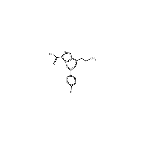 COCc1cc(-c2ccc(F)cc2)nc2c(C(=O)O)ncn12